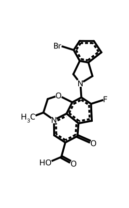 CC1COc2c(N3Cc4cccc(Br)c4C3)c(F)cc3c(=O)c(C(=O)O)cn1c23